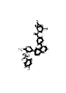 Cc1ncc(-c2ccc3nccc(-c4ccc(C(=O)N5C[C@@H]6C[C@H]5C(=O)O6)cc4)c3c2)cc1NS(=O)(=O)c1ccc(F)cc1F